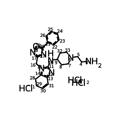 Cl.Cl.Cl.NCCN1CCC(Nc2nc3c(n2Cc2noc(-c4ccccc4)n2)CCC=C3)CC1